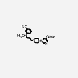 COC1=CN=CN(N2CCN(CCCN(C)c3cccc(C#N)c3)CC2)C1